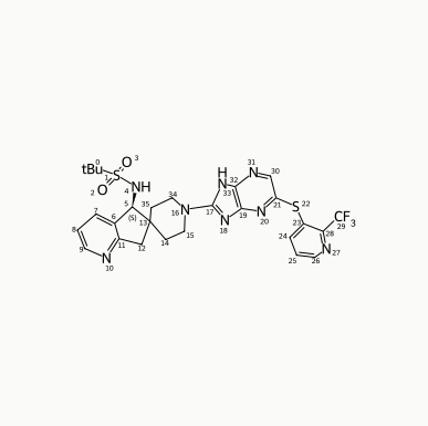 CC(C)(C)S(=O)(=O)N[C@@H]1c2cccnc2CC12CCN(c1nc3nc(Sc4cccnc4C(F)(F)F)cnc3[nH]1)CC2